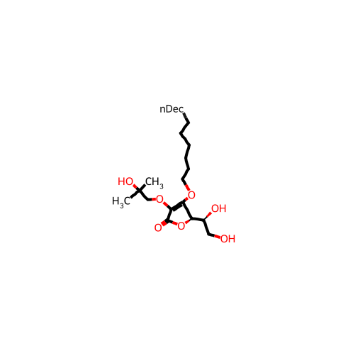 CCCCCCCCCCCCCCCCOC1=C(OCC(C)(C)O)C(=O)O[C@@H]1[C@@H](O)CO